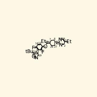 CCc1cnc(N2CCC(C(CC)Oc3ccc(F)c(N4C=NOC4C(C)(C)C)c3F)CC2)nc1